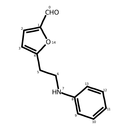 O=Cc1ccc(CCNc2ccccc2)o1